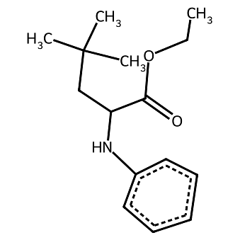 CCOC(=O)C(CC(C)(C)C)Nc1ccccc1